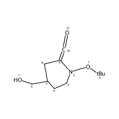 CC(C)(C)ON1CCC(CO)CC1=C=O